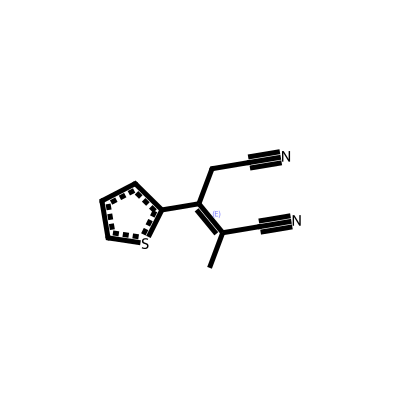 C/C(C#N)=C(/CC#N)c1cccs1